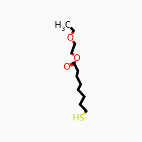 CCOCCOC(=O)CCCCCCCS